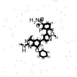 CNc1nc(C)c2cc(-c3cnc(OC)c(-c4c(F)ccc(S(N)(=O)=O)c4F)c3)cc(OC3CCCCC3)c2n1